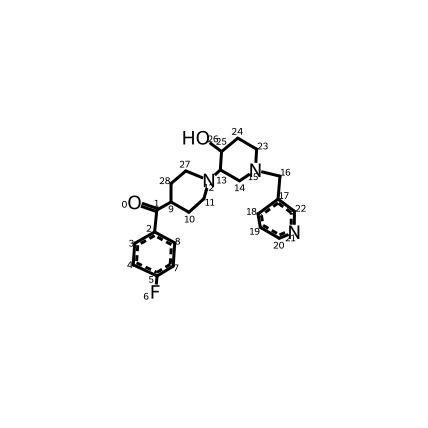 O=C(c1ccc(F)cc1)C1CCN(C2CN(Cc3cccnc3)CCC2O)CC1